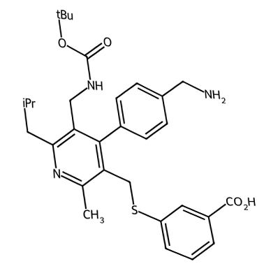 Cc1nc(CC(C)C)c(CNC(=O)OC(C)(C)C)c(-c2ccc(CN)cc2)c1CSc1cccc(C(=O)O)c1